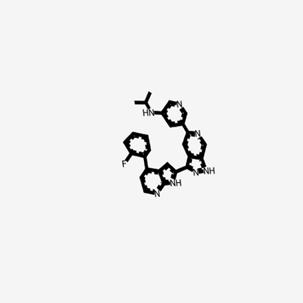 CC(C)Nc1cncc(-c2cc3c(-c4cc5c(-c6ccccc6F)ccnc5[nH]4)n[nH]c3cn2)c1